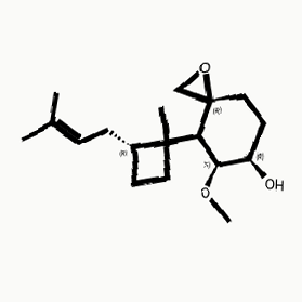 CO[C@H]1C(C2(C)CC[C@@H]2CC=C(C)C)[C@]2(CC[C@H]1O)CO2